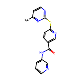 Cc1ccnc(Sc2ccc(C(=O)Nc3cccnc3)cn2)n1